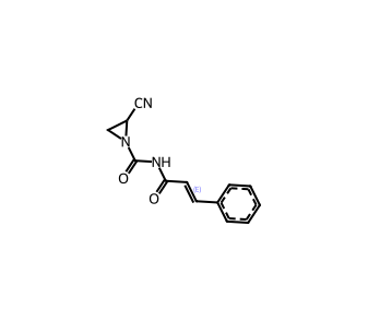 N#CC1CN1C(=O)NC(=O)/C=C/c1ccccc1